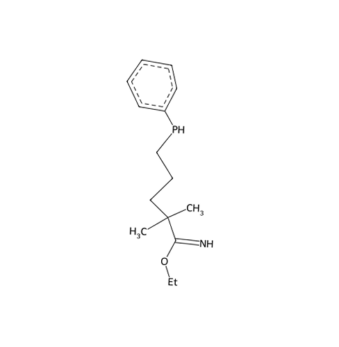 CCOC(=N)C(C)(C)CCCPc1ccccc1